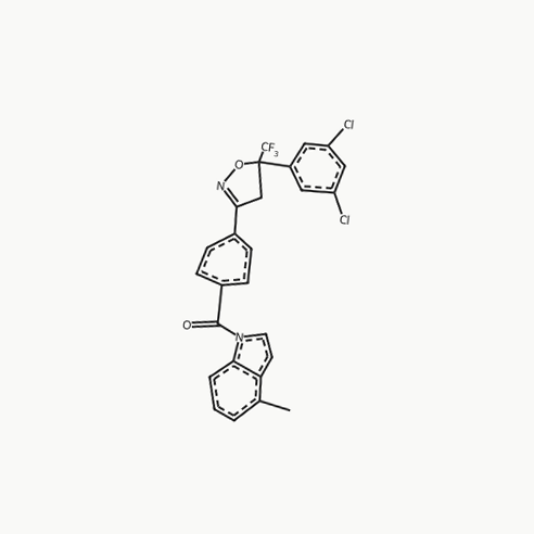 Cc1cccc2c1ccn2C(=O)c1ccc(C2=NOC(c3cc(Cl)cc(Cl)c3)(C(F)(F)F)C2)cc1